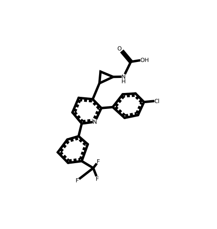 O=C(O)NC1CC1c1ccc(-c2cccc(C(F)(F)F)c2)nc1-c1ccc(Cl)cc1